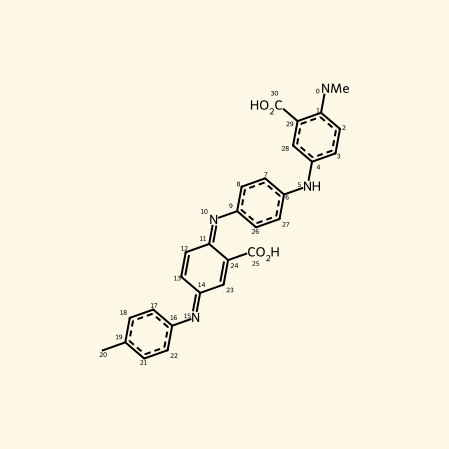 CNc1ccc(Nc2ccc(/N=C3C=C/C(=N\c4ccc(C)cc4)C=C/3C(=O)O)cc2)cc1C(=O)O